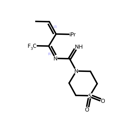 C/C=C(\C(=N/C(=N)N1CCS(=O)(=O)CC1)C(F)(F)F)C(C)C